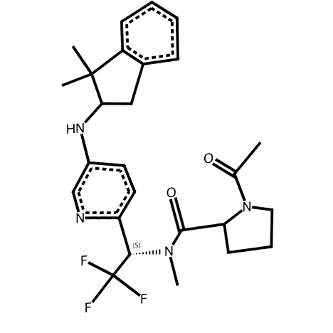 CC(=O)N1CCCC1C(=O)N(C)[C@@H](c1ccc(NC2Cc3ccccc3C2(C)C)cn1)C(F)(F)F